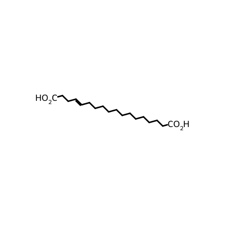 O=C(O)CCC=CCCCCCCCCCCCCC(=O)O